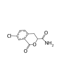 NC(=O)C1Cc2ccc(Cl)cc2C(=O)O1